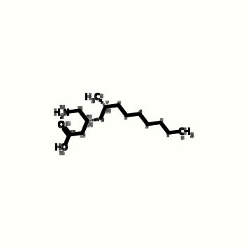 CCCCCCC[C@@H](C)C[C@@H](CN)CC(=O)O